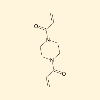 C=CC(=O)N1CCN(C(=O)C=C)CC1